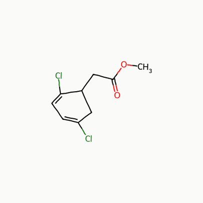 COC(=O)CC1CC(Cl)=CC=C1Cl